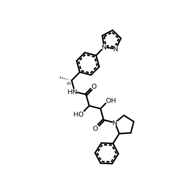 C[C@@H](NC(=O)C(O)C(O)C(=O)N1CCCC1c1ccccc1)c1ccc(-n2cccn2)cc1